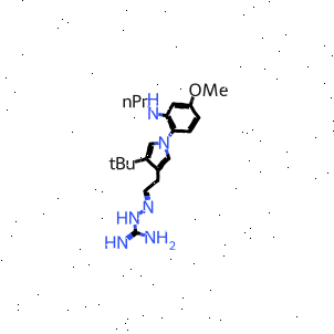 CCCNc1cc(OC)ccc1-n1cc(CC=NNC(=N)N)c(C(C)(C)C)c1